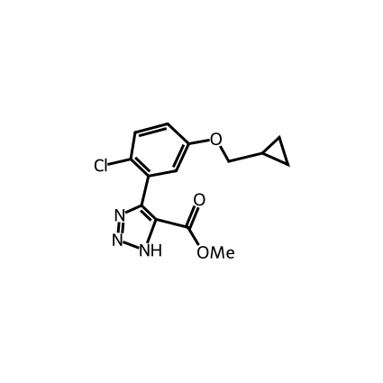 COC(=O)c1[nH]nnc1-c1cc(OCC2CC2)ccc1Cl